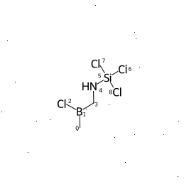 CB(Cl)CN[Si](Cl)(Cl)Cl